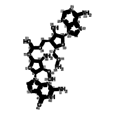 Nc1nc2c(ncn2[C@@H]2OC(OC(O)OC[C@H]3[C@@H](O)[C@H](n4cnc5c(N)ncnc54)O[C@@H]3COP)[C@@H](N)[C@H]2OO)c(=O)[nH]1